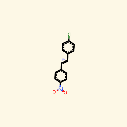 O=[N+]([O-])c1ccc(/C=C/c2ccc(Cl)cc2)cc1